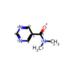 CN(C)C(=O)c1cncnc1